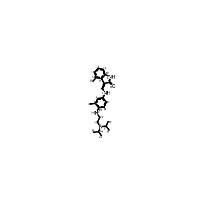 Cc1cc(NC=C2C(=O)Nc3cccc(C)c32)ccc1NCCN(C(C)C)C(C)C